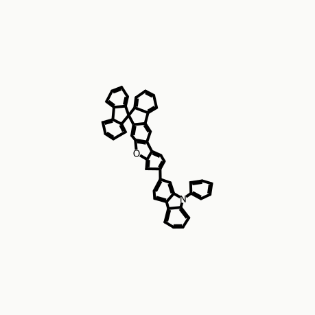 c1ccc(-n2c3ccccc3c3ccc(-c4ccc5c(c4)oc4cc6c(cc45)-c4ccccc4C64c5ccccc5-c5ccccc54)cc32)cc1